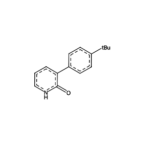 CC(C)(C)c1ccc(-c2ccc[nH]c2=O)cc1